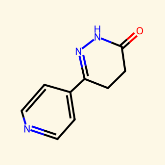 O=C1CCC(c2ccncc2)=NN1